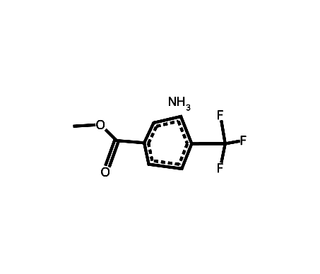 COC(=O)c1ccc(C(F)(F)F)cc1.N